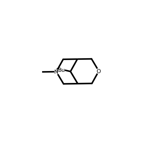 CN1CC2COCC(C1)C2C(C)(C)C